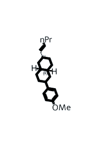 CCCC=C[C@@H]1CC[C@@H]2CC(c3ccc(OC)cc3)CC[C@@H]2C1